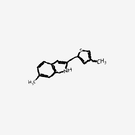 Cc1csc(-c2cc3ccc(C)cc3[nH]2)c1